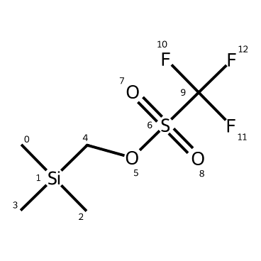 C[Si](C)(C)COS(=O)(=O)C(F)(F)F